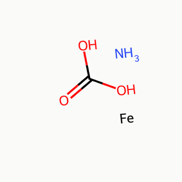 N.O=C(O)O.[Fe]